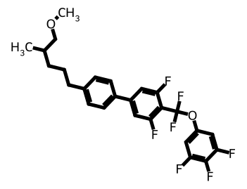 COCC(C)CCCc1ccc(-c2cc(F)c(C(F)(F)Oc3cc(F)c(F)c(F)c3)c(F)c2)cc1